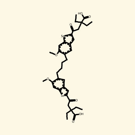 CCC(CC)(CC(=O)c1cc2cc(CCCCc3cc4cc(C(=O)CC(CC)(CC)C(=O)O)[se]c4cc3OC)c(OC)cc2[se]1)C(=O)O